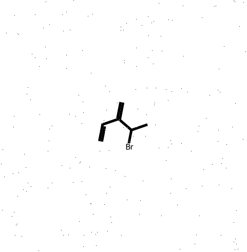 C=CC(=C)C(C)Br